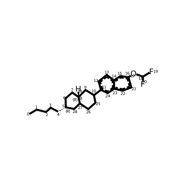 CCCCC[C@@H]1CC[C@@H]2CC(c3ccc4cc(OC(F)F)ccc4c3)CCC2C1